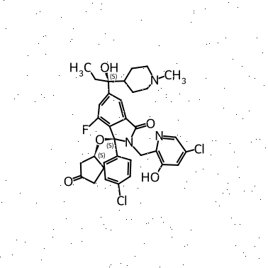 CC[C@@](O)(c1cc(F)c2c(c1)C(=O)N(Cc1ncc(Cl)cc1O)[C@]2(O[C@H]1CCC(=O)C1)c1ccc(Cl)cc1)C1CCN(C)CC1